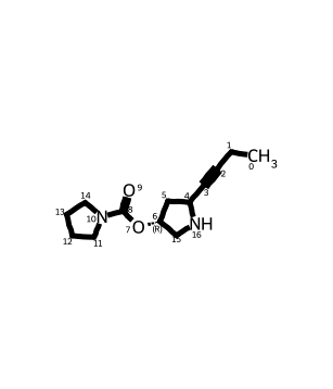 CCC#CC1C[C@@H](OC(=O)N2CCCC2)CN1